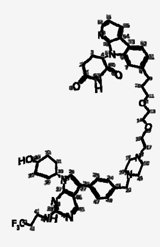 O=C1CC[C@H](n2c3cc(CCCOCCOCCN4CCN(Cc5ccc(-c6cn([C@H]7CC[C@H](O)CC7)c7nc(NCCC(F)(F)F)ncc67)cc5)CC4)ccc3c3cccnc32)C(=O)N1